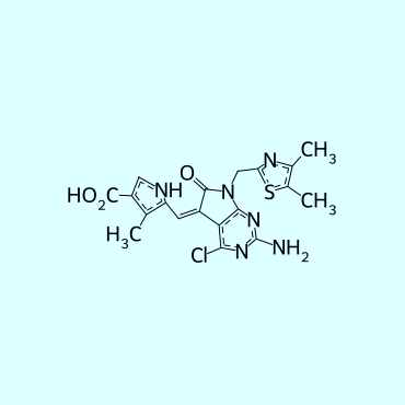 Cc1nc(CN2C(=O)/C(=C\c3[nH]cc(C(=O)O)c3C)c3c(Cl)nc(N)nc32)sc1C